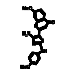 COc1ccc(Nc2nc(N)c(-c3cc(=O)c4ccc(OC)cc4o3)s2)cc1